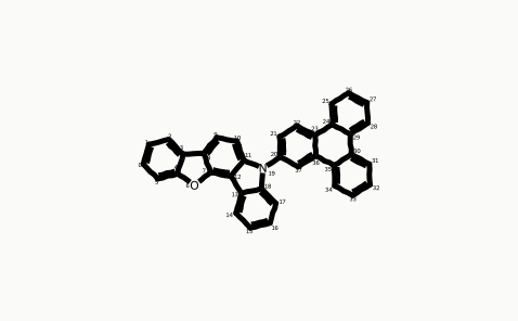 c1ccc2c(c1)oc1c2ccc2c1c1ccccc1n2-c1ccc2c3ccccc3c3ccccc3c2c1